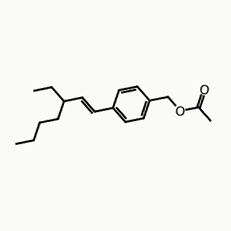 CCCCC(/C=C/c1ccc(COC(C)=O)cc1)CC